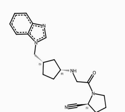 N#C[C@@H]1CCCN1C(=O)CN[C@@H]1CC[C@H](Cn2cnc3ccccc32)C1